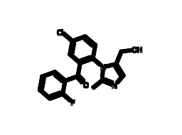 Cc1ncc(CO)n1-c1ccc(Cl)cc1C(=O)c1ccccc1F